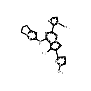 Cc1c(-c2ccn(C)n2)cn2nc(-c3nccn3C)nc(Nc3cc4n(n3)CCC4)c12